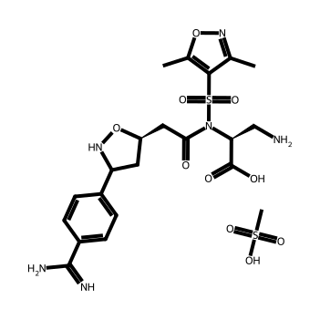 CS(=O)(=O)O.Cc1noc(C)c1S(=O)(=O)N(C(=O)C[C@H]1CC(c2ccc(C(=N)N)cc2)NO1)[C@@H](CN)C(=O)O